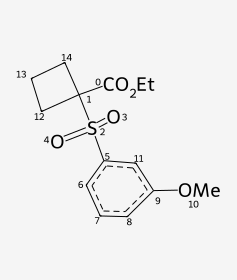 CCOC(=O)C1(S(=O)(=O)c2cccc(OC)c2)CCC1